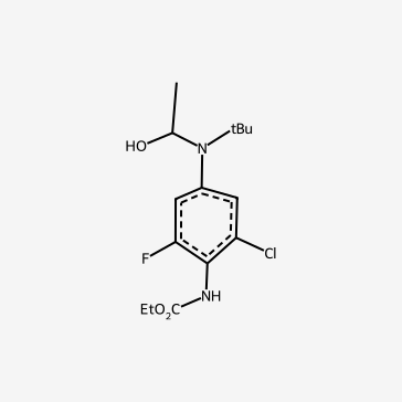 CCOC(=O)Nc1c(F)cc(N(C(C)O)C(C)(C)C)cc1Cl